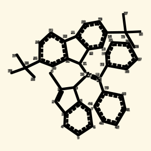 CC1=Cc2ccccc2[CH]1[Zr]([CH]1c2cc(C(C)(C)C)ccc2-c2ccc(C(C)(C)C)cc21)=[Si](c1ccccc1)c1ccccc1